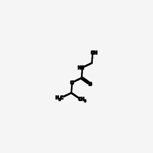 CC(C)OC(=O)NCO